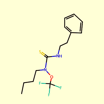 CCCCN(OC(F)(F)F)C(=S)NCCc1ccccc1